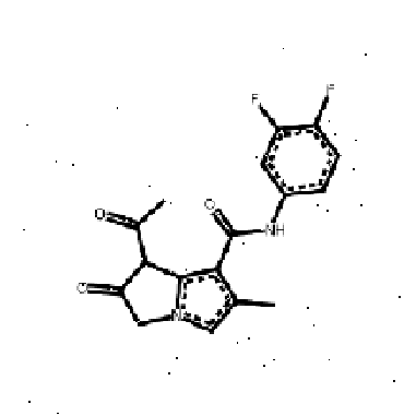 CC(=O)C1C(=O)Cn2cc(C)c(C(=O)Nc3ccc(F)c(F)c3)c21